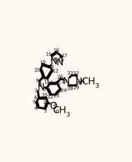 COc1cccc(CN(Cc2ccc(-n3cccn3)cc2)c2cccc(CN3CCN(C)CC3)c2)c1